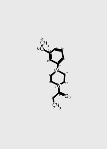 CCC(=O)N1CCN(c2cccc(OC)c2)CC1